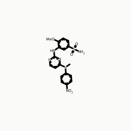 COc1ccc(S(N)(=O)=O)cc1Nc1nccc(N(C)c2ccc([N+](=O)[O-])cc2)n1